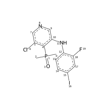 CP(C)(=O)c1c(Cl)cncc1Nc1ccc(I)cc1F